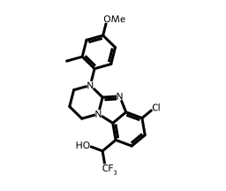 COc1ccc(N2CCCn3c2nc2c(Cl)ccc(C(O)C(F)(F)F)c23)c(C)c1